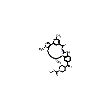 Cc1cc2cc(n1)-c1cnn(C)c1OCCC[C@@H](C)CN1/C(=N/C2=O)Nc2ccc(C(=O)N3CCN(C(=O)OC(C)(C)C)CC3)cc21